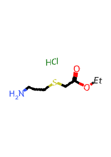 CCOC(=O)CSCCN.Cl